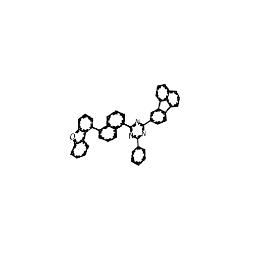 c1ccc(-c2nc(-c3ccc4c(c3)-c3cccc5cccc-4c35)nc(-c3cccc4c(-c5cccc6oc7ccccc7c56)cccc34)n2)cc1